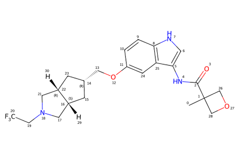 CC1(C(=O)Nc2c[nH]c3ccc(OC[C@@H]4C[C@@H]5CN(CC(F)(F)F)C[C@@H]5C4)cc23)COC1